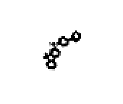 CC1(C)c2ccccc2-c2ccc(Nc3ccc(C4CC5CCC4C5)cc3)cc21